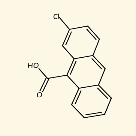 O=C(O)c1c2ccccc2cc2ccc(Cl)cc12